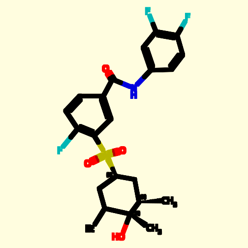 CCC1C[C@@H](S(=O)(=O)c2cc(C(=O)Nc3ccc(F)c(F)c3)ccc2F)C[C@H](C)[C@]1(C)O